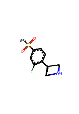 CC(C)S(=O)(=O)c1ccc(C2CNC2)c(Cl)c1